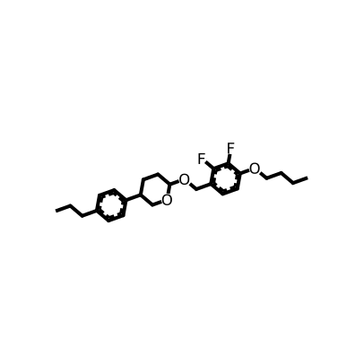 CCCCOc1ccc(COC2CCC(c3ccc(CCC)cc3)CO2)c(F)c1F